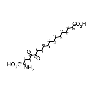 N[C@@H](CCC(=O)C(=O)CCCCCCCCCCCCC(=O)O)C(=O)O